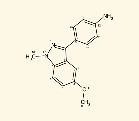 COc1ccc2c(c1)c(-c1ccc(N)cc1)nn2C